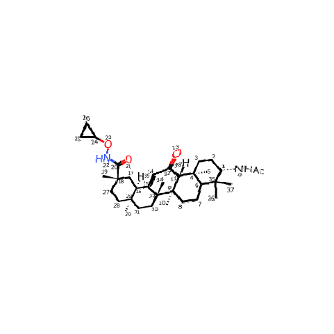 CC(=O)N[C@H]1CC[C@@]2(C)C(CC[C@]3(C)[C@@H]2C(=O)C=C2[C@@H]4C[C@@](C)(C(=O)NOC5CC5)CC[C@]4(C)CC[C@]23C)C1(C)C